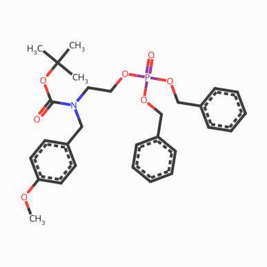 COc1ccc(CN(CCOP(=O)(OCc2ccccc2)OCc2ccccc2)C(=O)OC(C)(C)C)cc1